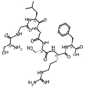 CC(C)C[C@H](NC(=O)CNC(=O)[C@@H](N)CO)C(=O)NCC(=O)N[C@@H](CO)C(=O)N[C@@H](CCCNC(=N)N)C(=O)N[C@@H](Cc1ccccc1)C(=O)O